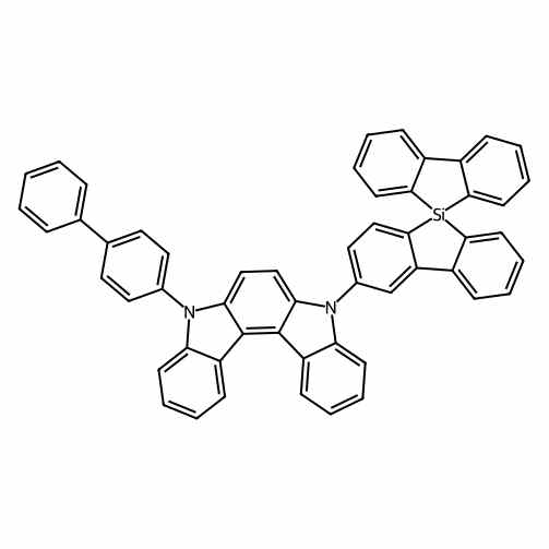 c1ccc(-c2ccc(-n3c4ccccc4c4c5c6ccccc6n(-c6ccc7c(c6)-c6ccccc6[Si]76c7ccccc7-c7ccccc76)c5ccc43)cc2)cc1